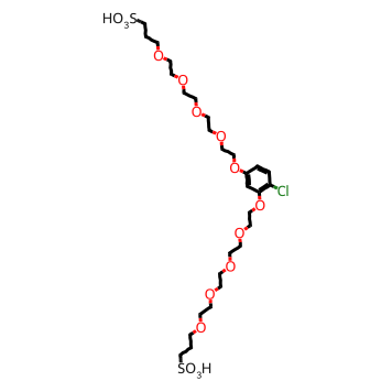 O=S(=O)(O)CCCOCCOCCOCCOCCOc1ccc(Cl)c(OCCOCCOCCOCCOCCCS(=O)(=O)O)c1